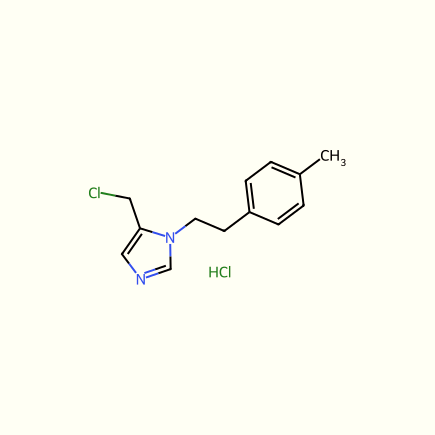 Cc1ccc(CCn2cncc2CCl)cc1.Cl